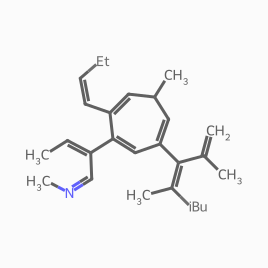 C=C(C)/C(C1=CC(C)C=C(/C=C\CC)C(C(/C=N\C)=C/C)=C1)=C(/C)C(C)CC